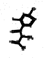 Cc1cc(Cl)ccc1C(=O)N(N)C(=S)S